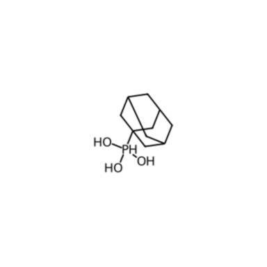 O[PH](O)(O)C12CC3CC(CC(C3)C1)C2